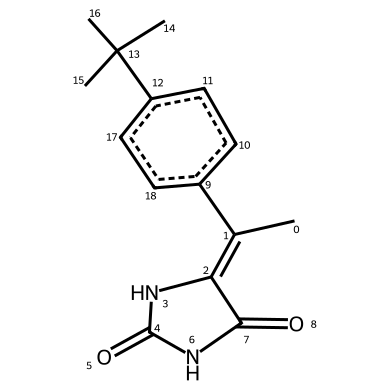 C/C(=C1/NC(=O)NC1=O)c1ccc(C(C)(C)C)cc1